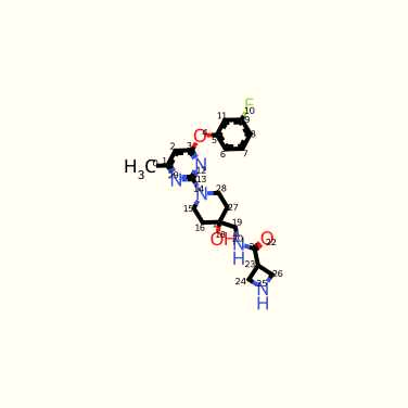 Cc1cc(Oc2cccc(F)c2)nc(N2CCC(O)(CNC(=O)C3CNC3)CC2)n1